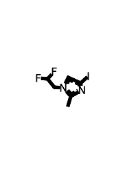 Cc1nc(I)cn1CC(F)F